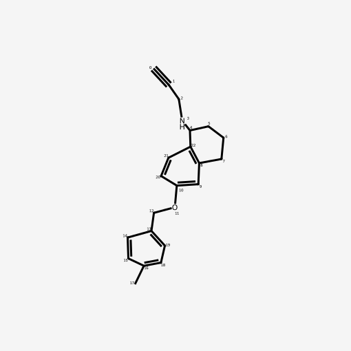 C#CCNC1CCCc2cc(OCc3ccc(C)cc3)ccc21